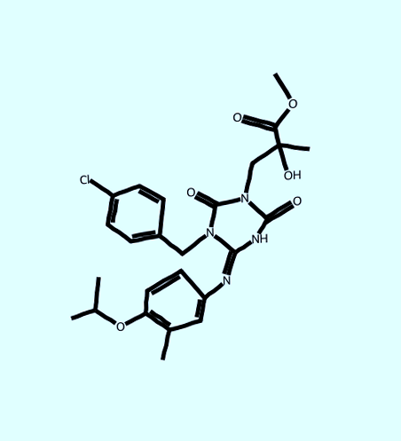 COC(=O)C(C)(O)Cn1c(=O)[nH]c(=Nc2ccc(OC(C)C)c(C)c2)n(Cc2ccc(Cl)cc2)c1=O